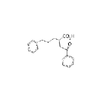 O=C(CC(CCCc1ccccc1)C(=O)O)c1ccccc1